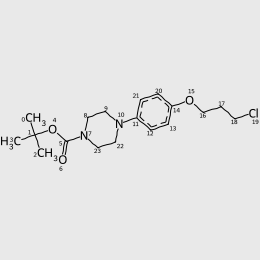 CC(C)(C)OC(=O)N1CCN(c2ccc(OCCCCl)cc2)CC1